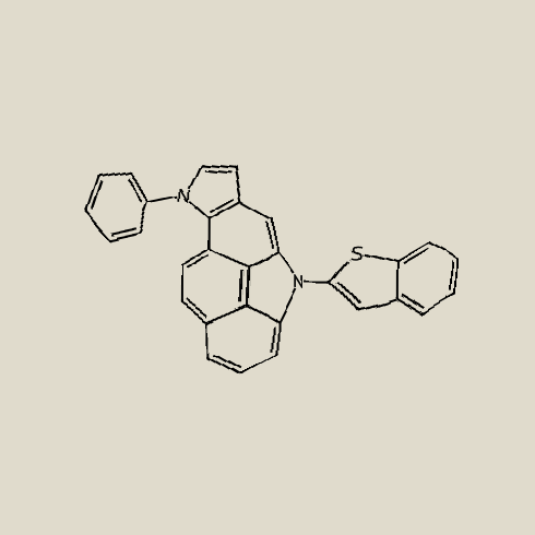 c1ccc(-n2ccc3cc4c5c(ccc6cccc(c65)n4-c4cc5ccccc5s4)c32)cc1